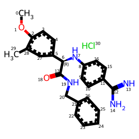 COc1ccc([C@@H](Nc2ccc(C(=N)N)cc2)C(=O)NCc2ccccc2)cc1C.Cl